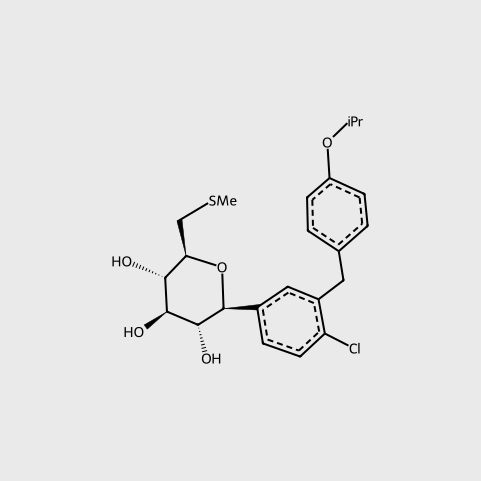 CSC[C@H]1O[C@@H](c2ccc(Cl)c(Cc3ccc(OC(C)C)cc3)c2)[C@H](O)[C@@H](O)[C@@H]1O